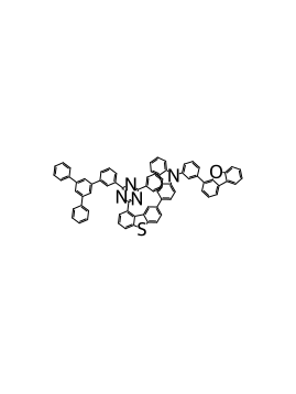 c1ccc(-c2cc(-c3ccccc3)cc(-c3cccc(-c4nc(-c5ccccc5)nc(-c5cccc6sc7ccc(-c8ccc9c(c8)c8ccccc8n9-c8cccc(-c9cccc%10c9oc9ccccc9%10)c8)cc7c56)n4)c3)c2)cc1